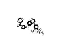 Cc1cc(N2CCOc3ccc(OC4CCN(C(=O)C5COCCO5)C4)cc32)cnc1S(C)(=O)=O